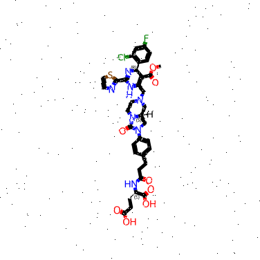 COC(=O)C1=C(CN2CCN3C(=O)N(c4ccc(CCC(=O)N[C@@H](CCC(=O)O)C(=O)O)cc4)C[C@@H]3C2)NC(c2nccs2)=N[C@H]1c1ccc(F)cc1Cl